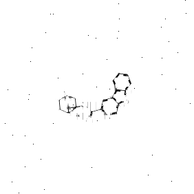 O=C(N[C@@H]1CN2CCC1CC2)c1cc2c(cn1)sc1ccccc12